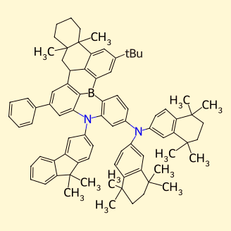 CC(C)(C)c1cc2c3c(c1)C1(C)CCCCC1(C)CC3c1cc(-c3ccccc3)cc3c1B2c1ccc(N(c2ccc4c(c2)C(C)(C)CCC4(C)C)c2ccc4c(c2)C(C)(C)CCC4(C)C)cc1N3c1ccc2c(c1)-c1ccccc1C2(C)C